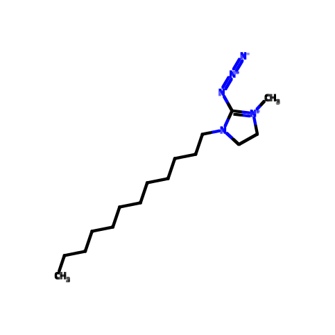 CCCCCCCCCCCCN1CC[N+](C)=C1N=[N+]=[N-]